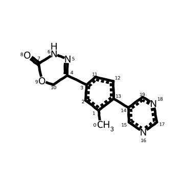 Cc1cc(C2=NNC(=O)OC2)ccc1-c1cncnc1